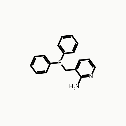 Nc1ncccc1CP(c1ccccc1)c1ccccc1